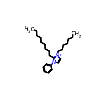 CCCCCCCCCc1n(-c2ccccc2)cc[n+]1CCCCCCC